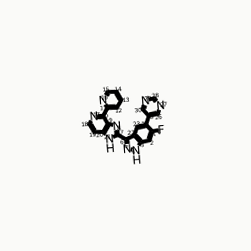 Fc1cc2[nH]nc(-c3nc4c(-c5ccccn5)nccc4[nH]3)c2cc1-c1cncnc1